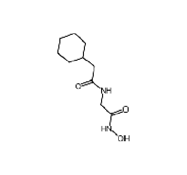 O=C(CNC(=O)CC1CCCCC1)NO